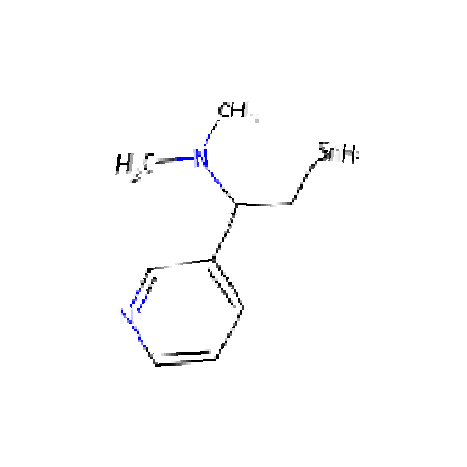 CN(C)C([CH2][SnH])c1cccnc1